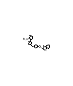 Nc1ncccc1-c1cc(Cc2ccc(OCc3cnc4ccccc4n3)cc2)no1